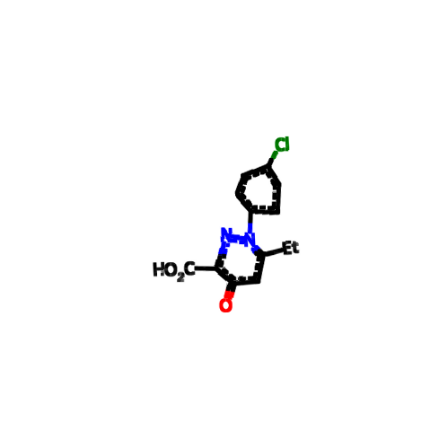 CCc1cc(=O)c(C(=O)O)nn1-c1ccc(Cl)cc1